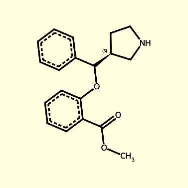 COC(=O)c1ccccc1OC(c1ccccc1)[C@H]1CCNC1